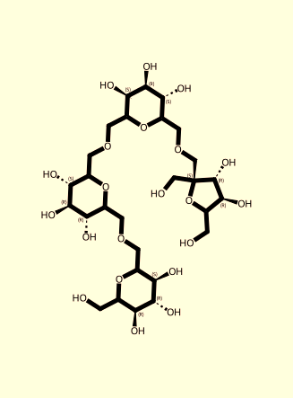 OCC1OC(COCC2OC(COCC3OC(COC[C@]4(CO)OC(CO)[C@H](O)[C@H]4O)[C@@H](O)[C@H](O)[C@@H]3O)[C@@H](O)[C@H](O)[C@H]2O)[C@@H](O)[C@H](O)[C@H]1O